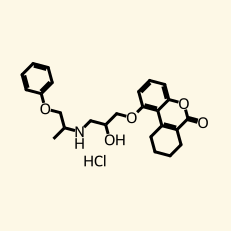 CC(COc1ccccc1)NCC(O)COc1cccc2oc(=O)c3c(c12)CCCC3.Cl